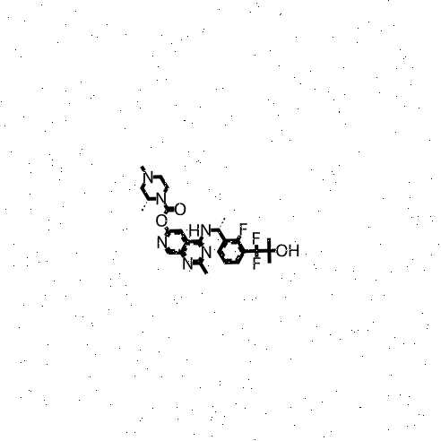 Cc1nc(N[C@H](C)c2cccc(C(F)(F)C(C)(C)O)c2F)c2cc(OC(=O)N3CCN(C)C[C@H]3C)ncc2n1